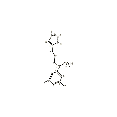 Cc1cc(C)cc(N(CCCc2c[nH]cn2)C(=O)O)c1